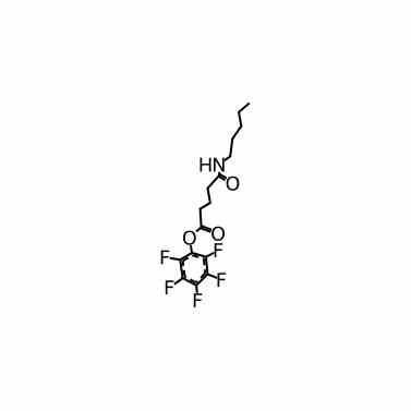 CCCCCNC(=O)CCCC(=O)Oc1c(F)c(F)c(F)c(F)c1F